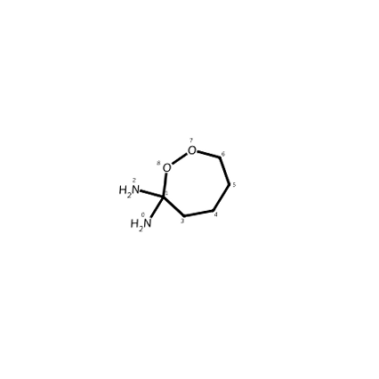 NC1(N)CCCCOO1